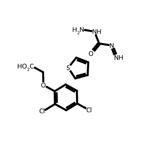 N=NC(=O)NN.O=C(O)COc1ccc(Cl)cc1Cl.c1ccsc1